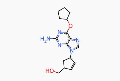 Nc1nc(OC2CCCC2)c2ncn(C3C=CC(CO)C3)c2n1